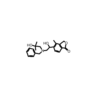 Cc1c(C(O)CN(Cc2ccccc2)CC(C)(C)O)ccc2c1COC2=O